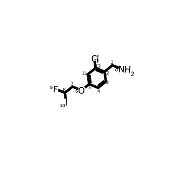 NCc1ccc(OCC(F)I)cc1Cl